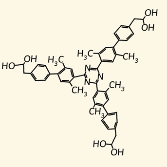 Cc1cc(-c2nc(-c3cc(C)c(-c4ccc(CC(O)O)cc4)cc3C)nc(-c3cc(C)c(-c4ccc(CC(O)O)cc4)cc3C)n2)c(C)cc1-c1ccc(CC(O)O)cc1